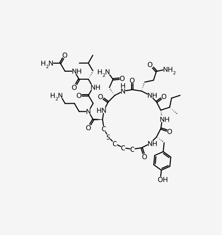 CC[C@H](C)[C@@H]1NC(=O)[C@H](Cc2ccc(O)cc2)NC(=O)CCCSC[C@@H](C(=O)N(CCCN)CC(=O)N[C@@H](CC(C)C)C(=O)NCC(N)=O)NC(=O)[C@H](CC(N)=O)NC(=O)[C@H](CCC(N)=O)NC1=O